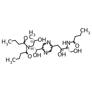 CCCC(=O)N[C@H](CO)[C@@H](O)Cc1cnc(C(O)[C@@H]([C@H](C)O)N(C(=O)CCC)C(=O)CCC)cn1